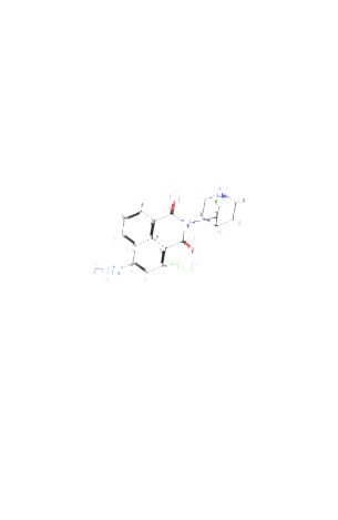 Cl.Nc1ccc2c3c(cccc13)C(=O)N(C1CN3CCC1CC3)C2=O